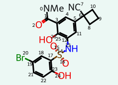 CNC(=O)c1cc(C2(C#N)CCC2)cc(NS(=O)(=O)c2cc(Br)ccc2O)c1O